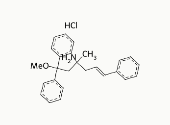 COC(CC(C)(N)C/C=C/c1ccccc1)(c1ccccc1)c1ccccc1.Cl